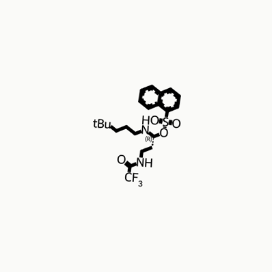 CC(C)(C)CCCN[C@@H](CCNC(=O)C(F)(F)F)OS(=O)(=O)c1cccc2ccccc12